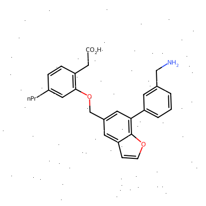 CCCc1ccc(CC(=O)O)c(OCc2cc(-c3cccc(CN)c3)c3occc3c2)c1